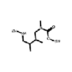 CCC(C)NCC(C)C(C)CN(C)C(=O)OC(C)(C)C